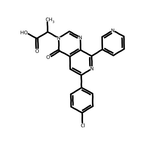 CC(C(=O)O)n1cnc2c(-c3cccnc3)nc(-c3ccc(Cl)cc3)cc2c1=O